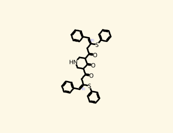 O=C(C/C(=C\c1ccccc1)Sc1ccccc1)C1CNCC(C(=O)C/C(=C\c2ccccc2)Sc2ccccc2)C1=O